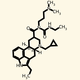 CCNC(=O)N(CCCN(C)C)C(=O)C1C[C@@H]2c3cccc4[nH]c(CC)c(c34)C[C@H]2N(CC2CC2)C1